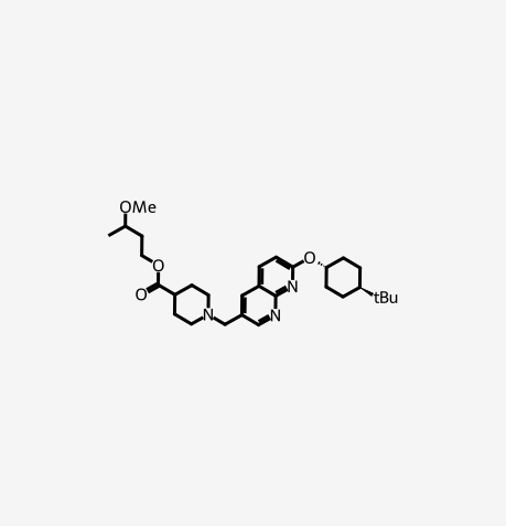 COC(C)CCOC(=O)C1CCN(Cc2cnc3nc(O[C@H]4CC[C@H](C(C)(C)C)CC4)ccc3c2)CC1